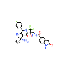 CC1(N)CNc2c1cc(C(O)(CNC(=O)c1ccc3c(c1)CC(=O)N3)C(F)(F)F)nc2-c1ccc(F)cc1